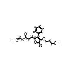 CCCCOC1=C(c2ccccc2)C(CCC(=O)OCC)OC1=O